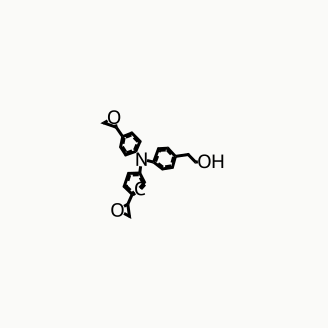 OCCc1ccc(N(c2ccc(C3CO3)cc2)c2ccc(C3CO3)cc2)cc1